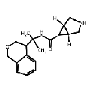 CC(C)(NC(=O)[C@H]1[C@@H]2CNC[C@@H]21)C1COCc2ccccc21